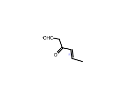 C/C=C/C(=O)C[C]=O